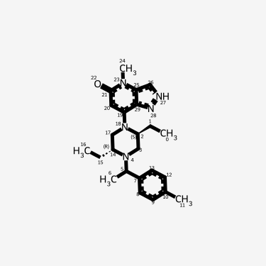 CC[C@H]1CN(C(C)c2ccc(C)cc2)[C@H](CC)CN1c1cc(=O)n(C)c2c[nH]nc12